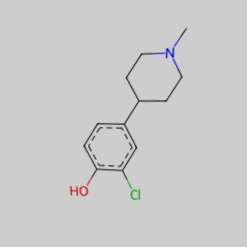 CN1CCC(c2ccc(O)c(Cl)c2)CC1